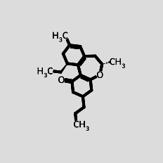 CCCC1CC(=O)C2=C(C1)O[C@@H](C)CC1=C2[C@@H](CC)CC(C)=C1